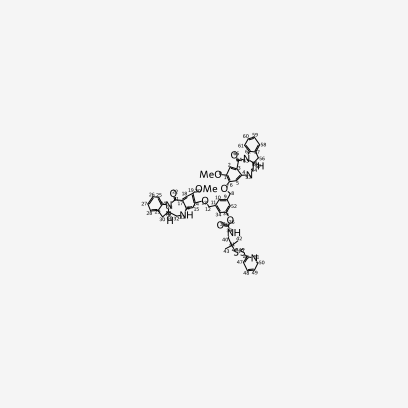 COc1cc2c(cc1OCc1cc(COc3cc4c(cc3OC)C(=O)N3c5ccccc5C[C@H]3CN4)cc(OC(=O)NCC(C)(C)SSc3ccccn3)c1)N=C[C@@H]1Cc3ccccc3N1C2=O